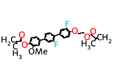 C=C(C)C(=O)OCCOc1ccc(-c2ccc(-c3ccc(OC(=O)C(=C)C)c(OC)c3)cc2F)cc1F